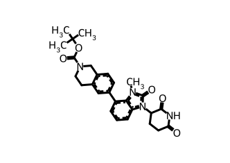 Cn1c(=O)n(C2CCC(=O)NC2=O)c2cccc(-c3ccc4c(c3)CCN(C(=O)OC(C)(C)C)C4)c21